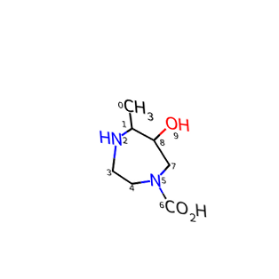 CC1NCCN(C(=O)O)CC1O